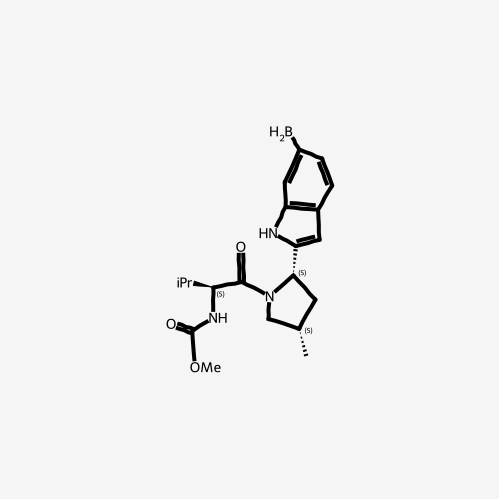 Bc1ccc2cc([C@@H]3C[C@H](C)CN3C(=O)[C@@H](NC(=O)OC)C(C)C)[nH]c2c1